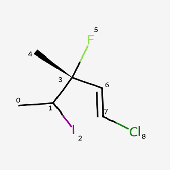 CC(I)[C@](C)(F)/C=C/Cl